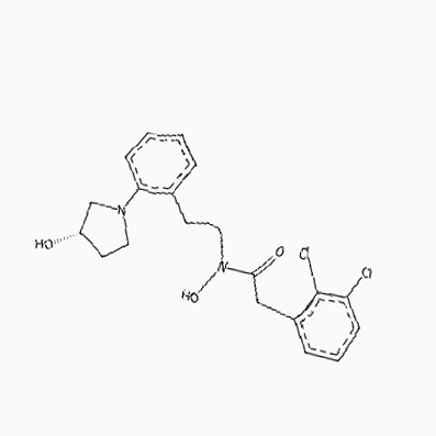 O=C(Cc1cccc(Cl)c1Cl)N(O)CCc1ccccc1N1CC[C@H](O)C1